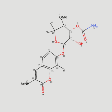 COC1[C@H](OC(N)=O)[C@H](O)C(Oc2ccc3cc(NC(C)=O)c(=O)oc3c2C)OC1(C)C